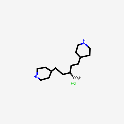 Cl.O=C(O)C(CCC1CCNCC1)CCC1CCNCC1